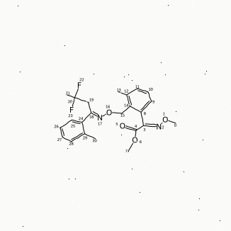 CO/N=C(/C(=O)OC)c1cccc(C)c1CO/N=C(\CC(C)(F)F)c1ccccc1C